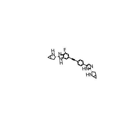 Fc1cc(C#Cc2ccc(-c3cnc([C@@H]4CC5CC5N4)[nH]3)cc2)cc2[nH]c([C@@H]3CC4CC4N3)nc12